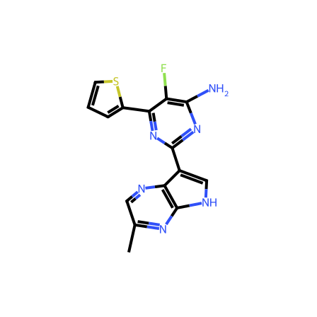 Cc1cnc2c(-c3nc(N)c(F)c(-c4cccs4)n3)c[nH]c2n1